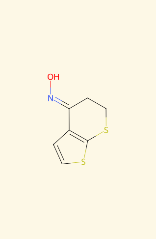 ON=C1CCSc2sccc21